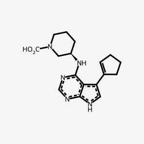 O=C(O)N1CCC[C@@H](Nc2ncnc3[nH]cc(C4=CCCC4)c23)C1